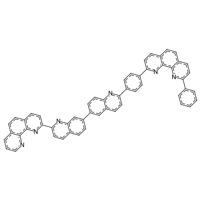 c1ccc(-c2ccc3ccc4ccc(-c5ccc(-c6ccc7cc(-c8ccc9ccc(-c%10ccc%11ccc%12cccnc%12c%11n%10)nc9c8)ccc7n6)cc5)nc4c3n2)cc1